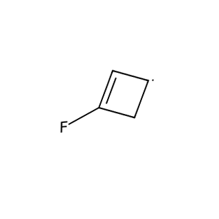 FC1=C[CH]C1